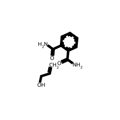 C=CCO.NC(=O)c1ccccc1C(N)=O